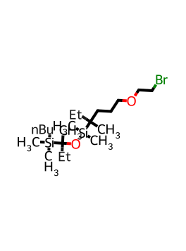 CCCC[Si](C)(C)C(C)(CC)O[Si](C)(C)C(C)(CC)CCCOCCBr